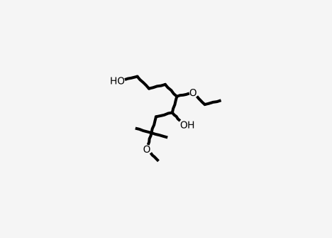 CCOC(CCCO)C(O)CC(C)(C)OC